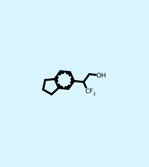 OCC(c1ccc2c(c1)CCC2)C(F)(F)F